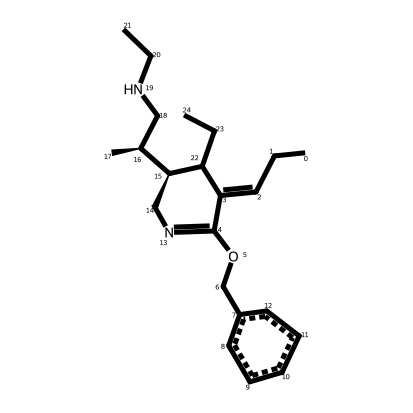 CC/C=C1/C(OCc2ccccc2)=NC[C@@H]([C@@H](C)CNCC)C1CC